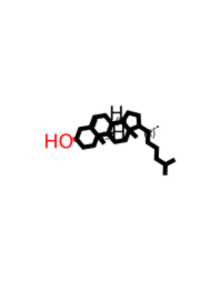 CC(C)CCC[C@@H](C)C1CC[C@H]2C3CC=C4CC(O)CCC4(C)[C@H]3CCC12C